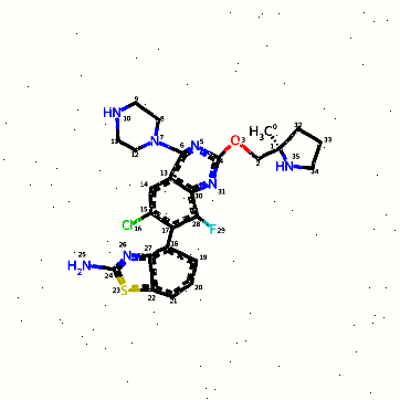 C[C@]1(COc2nc(N3CCNCC3)c3cc(Cl)c(-c4cccc5sc(N)nc45)c(F)c3n2)CCCN1